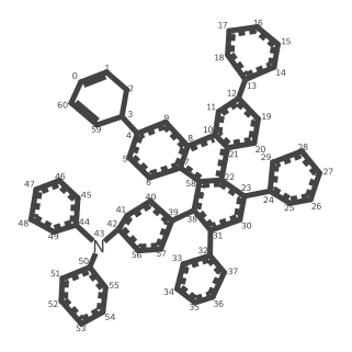 C1=CCC(c2ccc3c(c2)c2cc(-c4ccccc4)ccc2c2c(-c4ccccc4)cc(-c4ccccc4)c(-c4ccc(N(c5ccccc5)c5ccccc5)cc4)c32)C=C1